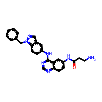 NCCC(=O)Nc1ccc2ncnc(Nc3ccc4c(cnn4Cc4ccccc4)c3)c2c1